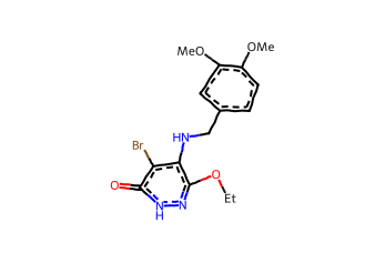 CCOc1n[nH]c(=O)c(Br)c1NCc1ccc(OC)c(OC)c1